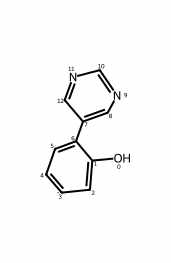 Oc1c[c]ccc1-c1cncnc1